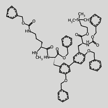 CN[C@@H](CCCNC(=O)OCc1ccccc1)C(=O)N[C@@H](Cc1cc(OCc2ccccc2)cc(-c2ccc(OCc3ccccc3)c(C[C@H](NC(=O)OCc3ccccc3)C(=O)OCC[Si](C)(C)C)c2)c1)C(=O)OCc1ccccc1